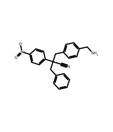 N#CC(Cc1ccccc1)(Cc1ccc(CN)cc1)c1ccc([N+](=O)[O-])cc1